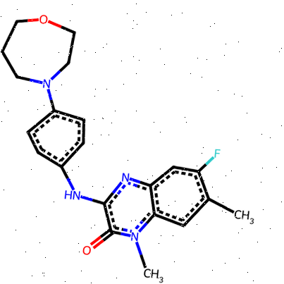 Cc1cc2c(cc1F)nc(Nc1ccc(N3CCCOCC3)cc1)c(=O)n2C